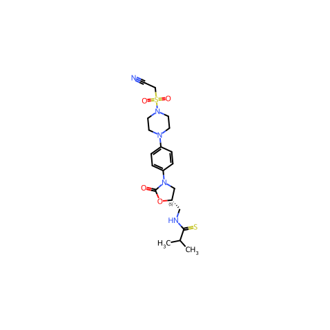 CC(C)C(=S)NC[C@H]1CN(c2ccc(N3CCN(S(=O)(=O)CC#N)CC3)cc2)C(=O)O1